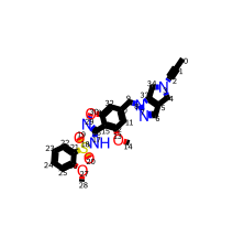 CC#CN1Cc2cnn(Cc3cc(OC)c4c(NS(=O)(=O)c5ccccc5OC)noc4c3)c2C1